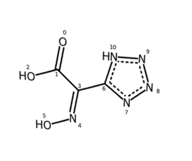 O=C(O)C(=NO)c1nnn[nH]1